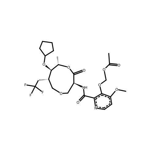 COc1ccnc(C(=O)N[C@H]2COC[C@H](CC(F)(F)F)[C@@H](OC3CCCC3)[C@H](C)OC2=O)c1OCOC(C)=O